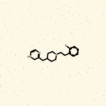 Fc1ccccc1CCN1CCC(CC2=NC=CNC2)CC1